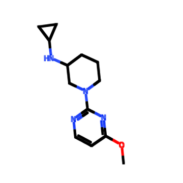 COc1ccnc(N2CCCC(NC3CC3)C2)n1